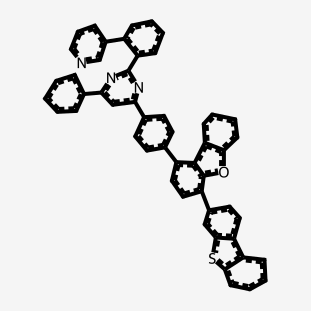 c1ccc(-c2cc(-c3ccc(-c4ccc(-c5ccc6c(c5)sc5ccccc56)c5oc6ccccc6c45)cc3)nc(-c3ccccc3-c3cccnc3)n2)cc1